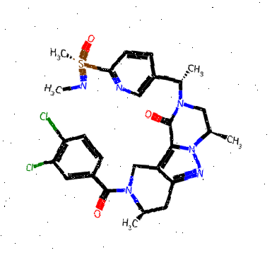 CN=[S@@](C)(=O)c1ccc([C@H](C)N2C[C@@H](C)n3nc4c(c3C2=O)CN(C(=O)c2ccc(Cl)c(Cl)c2)[C@H](C)C4)cn1